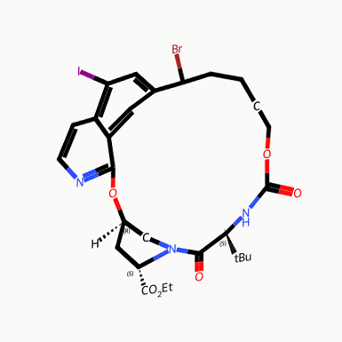 CCOC(=O)[C@@H]1C[C@@H]2CN1C(=O)[C@H](C(C)(C)C)NC(=O)OCCCCC(Br)c1cc(I)c3ccnc(c3c1)O2